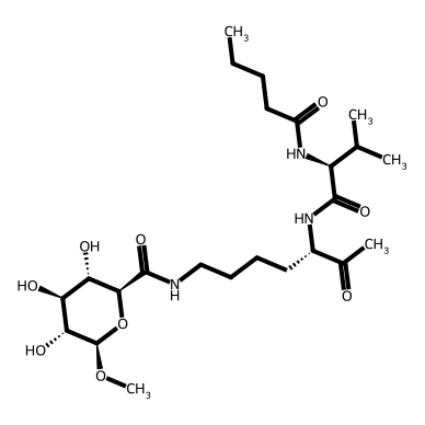 CCCCC(=O)N[C@H](C(=O)N[C@@H](CCCCNC(=O)[C@H]1O[C@@H](OC)[C@H](O)[C@@H](O)[C@@H]1O)C(C)=O)C(C)C